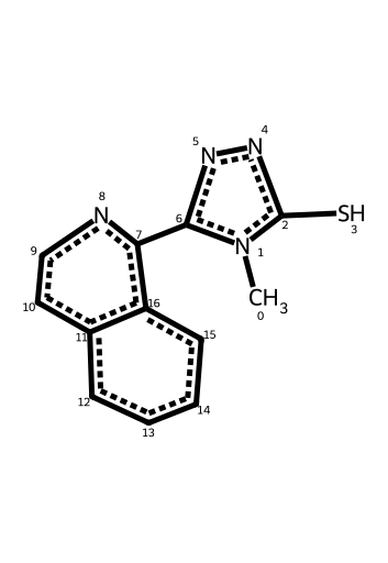 Cn1c(S)nnc1-c1nccc2ccccc12